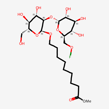 COC(=O)CCCCCCCCO[C@H]1O[C@H](CO)[C@@H](O)[C@H](O)[C@H]1O[C@H]1O[C@H](COF)[C@@H](O)[C@H](O)[C@H]1O